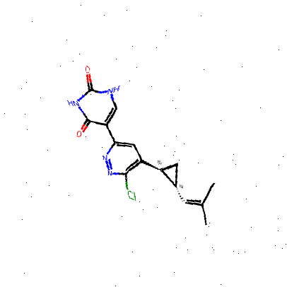 CC(C)=C[C@H]1C[C@@H]1c1cc(-c2c[nH]c(=O)[nH]c2=O)nnc1Cl